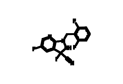 N#CC1(I)NN(Cc2c(F)cccc2F)c2ncc(F)cc21